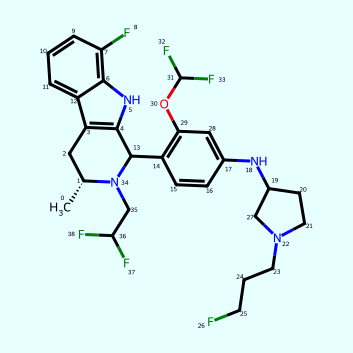 C[C@@H]1Cc2c([nH]c3c(F)cccc23)C(c2ccc(NC3CCN(CCCF)C3)cc2OC(F)F)N1CC(F)F